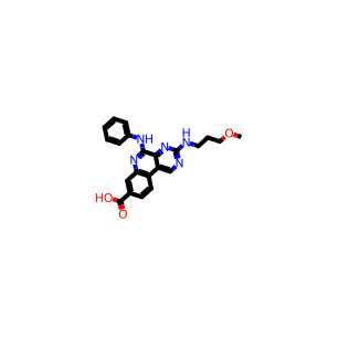 COCCCNc1ncc2c(n1)c(Nc1ccccc1)nc1cc(C(=O)O)ccc12